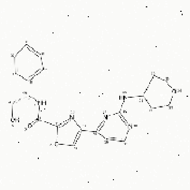 O=C(N[C@H](CO)c1ccccc1)c1nc(-c2ccnc(NC3CCOCC3)n2)co1